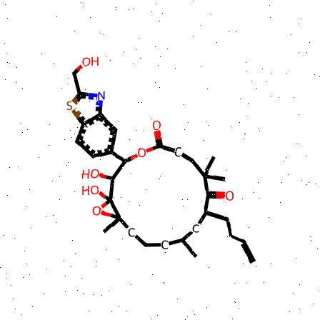 C=CCCC1CC(C)CCCC2(C)OC2(O)C(O)C(c2ccc3sc(CO)nc3c2)OC(=O)CCC(C)(C)C1=O